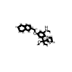 CCC(OC)(c1cc(NC)cc(OCc2ccc3ccccc3c2)c1)c1nccs1